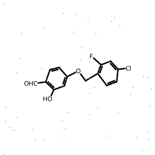 O=Cc1ccc(OCc2ccc(Cl)cc2F)cc1O